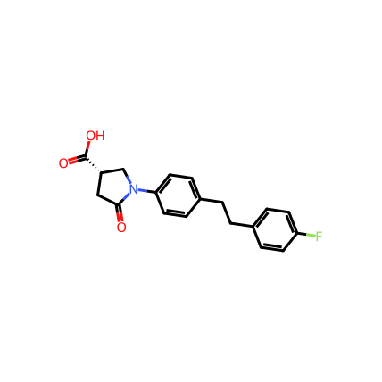 O=C(O)[C@H]1CC(=O)N(c2ccc(CCc3ccc(F)cc3)cc2)C1